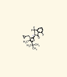 Cc1c(C(C)(C)C)s/c(=N\C(=O)c2c(F)cccc2C(F)(F)F)n1CC1CC1